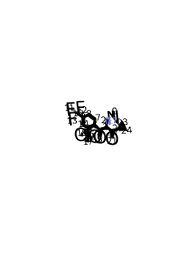 C/N=C/C(C(=O)c1ccc(C(F)(F)F)cc1S(C)(=O)=O)C(=O)C1CC1